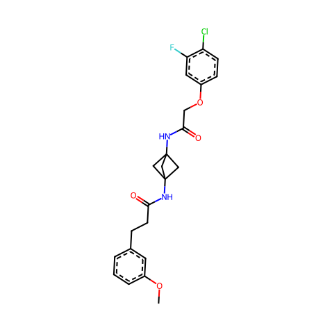 COc1cccc(CCC(=O)NC23CC(NC(=O)COc4ccc(Cl)c(F)c4)(C2)C3)c1